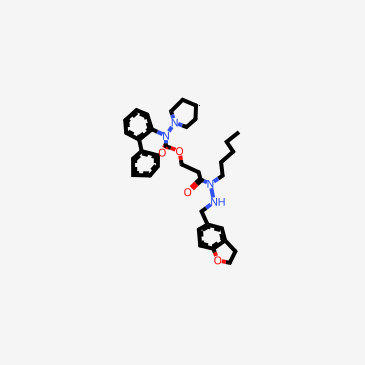 CCCCCN(NCc1ccc2c(c1)CCO2)C(=O)CCOC(=O)N(c1ccccc1-c1ccccc1)N1CC[CH]CC1